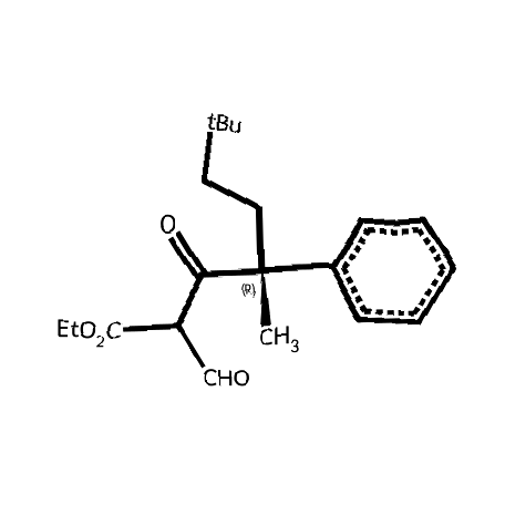 CCOC(=O)C(C=O)C(=O)[C@](C)(CCC(C)(C)C)c1ccccc1